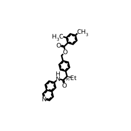 CC[C@@H](C(=O)Nc1ccc2cnccc2c1)c1ccc(COC(=O)c2ccc(C)cc2C)cc1